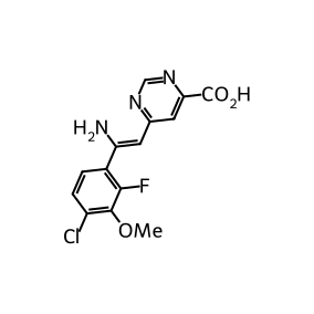 COc1c(Cl)ccc(C(N)=Cc2cc(C(=O)O)ncn2)c1F